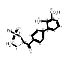 CCS(=O)(=O)N[C@@H](CN)C(=O)c1ccc(-c2cccc(C(=O)O)c2N)cc1